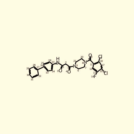 O=C(CC(=O)N1CCN(C(=O)c2cc(F)c(Cl)cc2Cl)CC1)Nc1ccc(-c2ccccc2)cc1